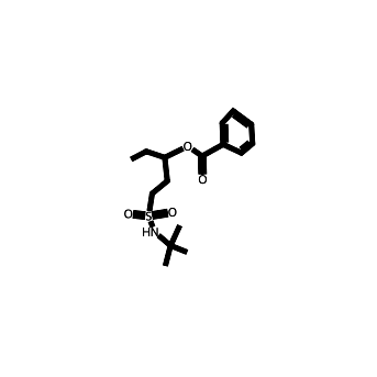 CCC(CCS(=O)(=O)NC(C)(C)C)OC(=O)c1ccccc1